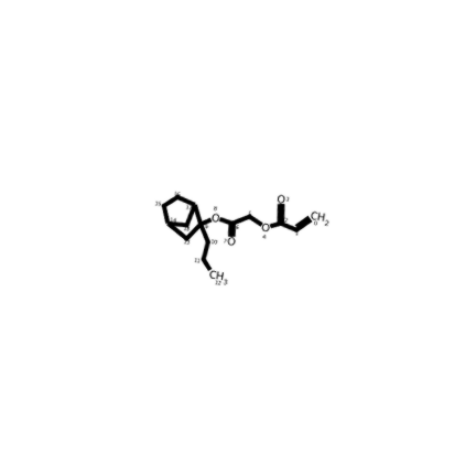 C=CC(=O)OCC(=O)OC1(CCC)CC2CCC1C2